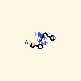 CC(=O)c1ccc(-c2cccc3[nH]c(-c4n[nH]c5ccc(-c6cccnc6)nc45)nc23)s1